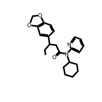 CCC(CC(=O)N(c1ccccn1)C1CCCCC1)c1ccc2c(c1)OCO2